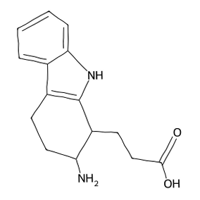 NC1CCc2c([nH]c3ccccc23)C1CCC(=O)O